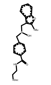 CCCCCCCCCCCCNC(=O)c1ccc(CN(O)Cc2c(CCCC)oc3ccccc23)cc1